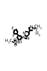 CCS(=O)(=O)Nc1cc(-c2ccc(F)cc2F)cc(-n2cnc3cc(-c4cnn(C(C)C)c4)cnc32)c1